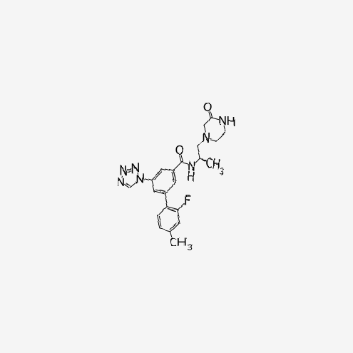 Cc1ccc(-c2cc(C(=O)N[C@H](C)CN3CCNC(=O)C3)cc(-n3cnnn3)c2)c(F)c1